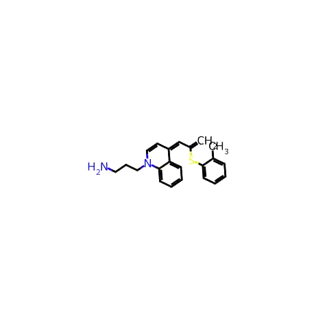 C=C(/C=C1/C=CN(CCCN)c2ccccc21)Sc1ccccc1C